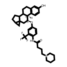 O=C(CCCN1CCCCC1)Nc1ccc(O[C@H]2CC34CC3CCC4C3CCc4cc(O)ccc4[C@H]32)cc1C(F)(F)F